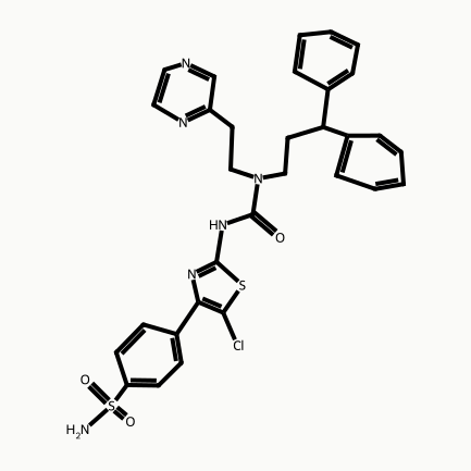 NS(=O)(=O)c1ccc(-c2nc(NC(=O)N(CCc3cnccn3)CCC(c3ccccc3)c3ccccc3)sc2Cl)cc1